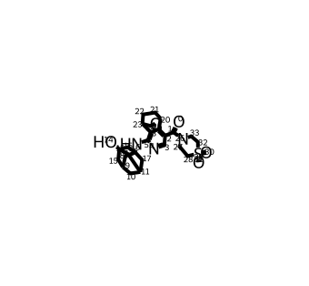 O=C(c1cnc(NC23CC4CC(CC(O)(C4)C2)C3)c2c1C1CCC2CC1)N1CCS(=O)(=O)CC1